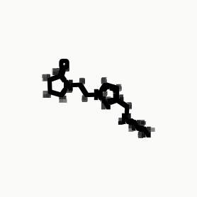 [N-]=[N+]=NCc1ccn(CCN2CCCC2=O)n1